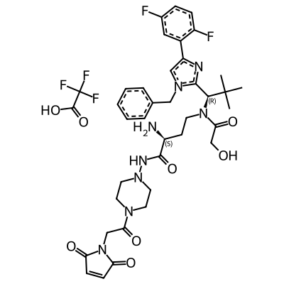 CC(C)(C)[C@H](c1nc(-c2cc(F)ccc2F)cn1Cc1ccccc1)N(CC[C@H](N)C(=O)NN1CCN(C(=O)CN2C(=O)C=CC2=O)CC1)C(=O)CO.O=C(O)C(F)(F)F